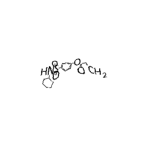 C=CC(=O)Oc1ccc(S(=O)(=O)NC2CCCCC2)cc1